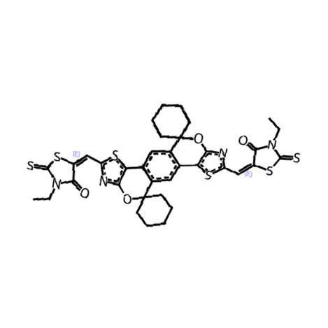 CCN1C(=O)/C(=C\c2nc3c(s2)-c2cc4c(cc2C2(CCCCC2)O3)-c2sc(/C=C3/SC(=S)N(CC)C3=O)nc2OC42CCCCC2)SC1=S